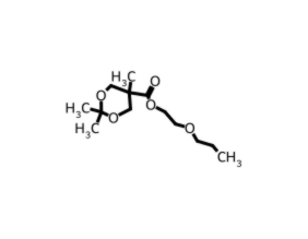 CCCOCCOC(=O)C1(C)COC(C)(C)OC1